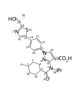 CC1CCC(C(=O)N(c2nn(-c3ccc(-c4cnc([C@@H](C)O)s4)cc3)cc2C(=O)O)C(C)C)CC1